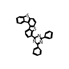 c1ccc(-c2nc(-c3ccccc3)nc(-c3cccc4c3sc3ccc5sc6ccccc6c5c34)n2)cc1